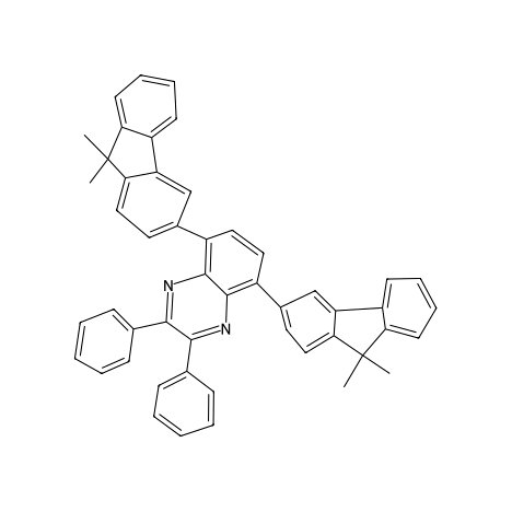 CC1(C)c2ccccc2-c2cc(-c3ccc(-c4ccc5c(c4)-c4ccccc4C5(C)C)c4nc(-c5ccccc5)c(-c5ccccc5)nc34)ccc21